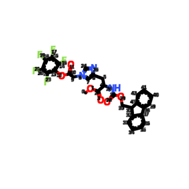 COC(=O)C(Cc1cn(CC(=O)Oc2c(F)c(F)c(F)c(F)c2F)cn1)NC(=O)OCC1c2ccccc2-c2ccccc21